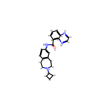 O=C(Nc1ccc2c(c1)CCN(C1CCC1)CC2)c1cccc2nccnc12